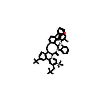 C=C1C2C(CCc3ccc4c(oc5ccccc54)c3-c3n(-c4c(C)cc(C)cc4C)c4ccccc4[n+]31)c1ccc(C(C)(C)C)cc1-c1cc(CC(C)(C)C)c([Si](C)(C)C)c[n+]12